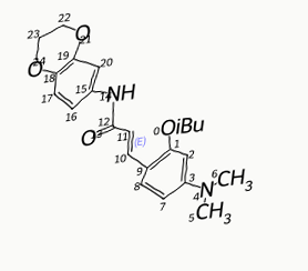 CC(C)COc1cc(N(C)C)ccc1/C=C/C(=O)Nc1ccc2c(c1)OCCO2